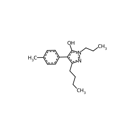 CCCCc1nn(CCC)c(O)c1-c1ccc(C)cc1